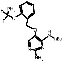 CCCCNc1nc(N)ncc1OCc1ccccc1OC(F)(F)P